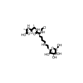 C[C@H](NC(=O)[C@H](C)NC(=O)[C@H](CCCCNCC[C@@H]1O[C@H](CO)[C@H](O)[C@H](O)[C@H]1O)NCCl)C(=O)O